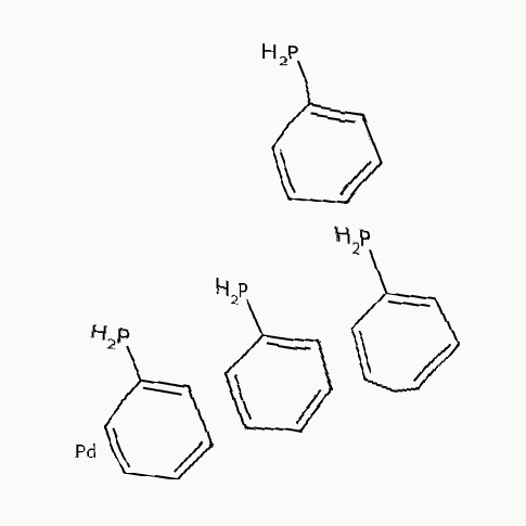 Pc1ccccc1.Pc1ccccc1.Pc1ccccc1.Pc1ccccc1.[Pd]